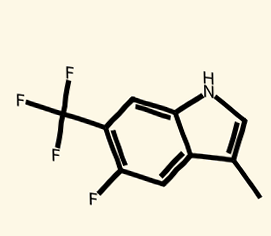 Cc1c[nH]c2cc(C(F)(F)F)c(F)cc12